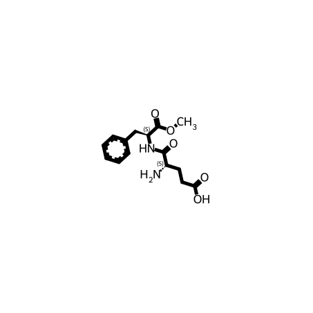 COC(=O)[C@H](Cc1ccccc1)NC(=O)[C@@H](N)CCC(=O)O